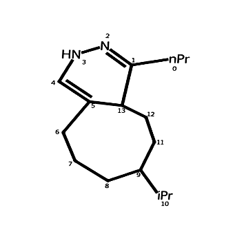 CCCC1=NNC=C2CCCC(C(C)C)CCC21